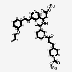 CC(C)(C)OC(=O)CC(NC(=O)[C@@H]1CCCN(C(=O)CCC2CCN(C(=O)OC(C)(C)C)CC2)C1)c1cncc(C=Cc2cccc(OCCF)c2)c1